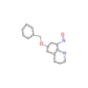 O=Nc1cc(OCc2ccccc2)cc2cccnc12